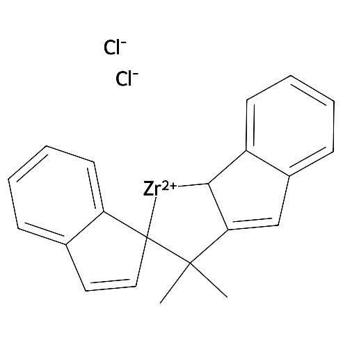 CC1(C)C2=Cc3ccccc3[CH]2[Zr+2][C]12C=Cc1ccccc12.[Cl-].[Cl-]